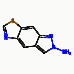 Nn1cc2cc3ncsc3cc2n1